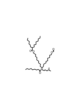 CCCCCCCCC(=O)N(CCCN(C)C)C(CCCCCCCCCOC=O)CCCCCCCCCOC(=O)C(CCCCCC)CCCCCCCC